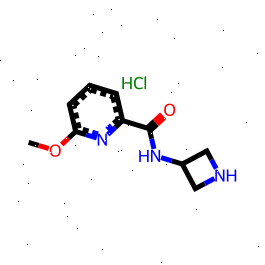 COc1cccc(C(=O)NC2CNC2)n1.Cl